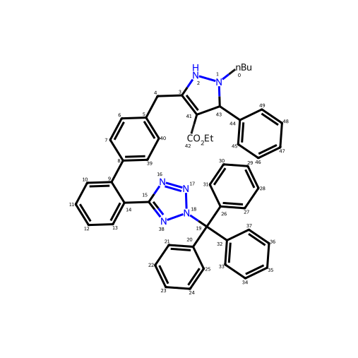 CCCCN1NC(Cc2ccc(-c3ccccc3-c3nnn(C(c4ccccc4)(c4ccccc4)c4ccccc4)n3)cc2)=C(C(=O)OCC)C1c1ccccc1